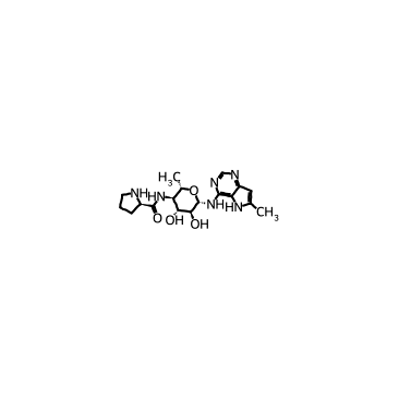 Cc1cc2ncnc(N[C@H]3O[C@@H](C)[C@H](NC(=O)[C@H]4CCCN4)[C@@H](O)[C@@H]3O)c2[nH]1